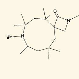 CC(C)N1C(C)CC(C)(C)CC2(CN(C)C2=O)C(C)(C)CC1(C)C